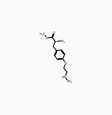 N[C@@H](Cc1ccc(OCCNP)cc1)C(=O)OP